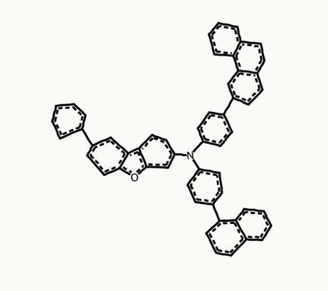 c1ccc(-c2ccc3oc4cc(N(c5ccc(-c6ccc7ccc8ccccc8c7c6)cc5)c5ccc(-c6cccc7ccccc67)cc5)ccc4c3c2)cc1